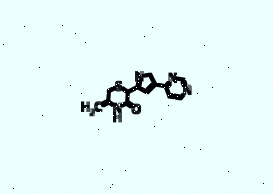 C=C1CSC(C2=NCC(c3ccncn3)=C2)C(=O)N1